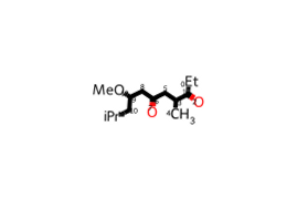 CCC(=O)C(C)CC(=O)CC(CC(C)C)OC